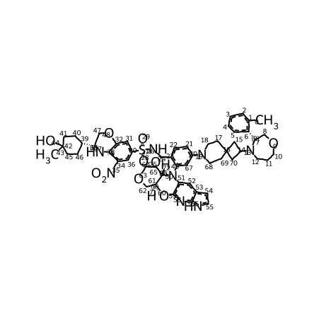 Cc1ccccc1[C@@H]1COCCCN1C1CC2(CCN(c3ccc(C(=O)NS(=O)(=O)c4cc5c(c([N+](=O)[O-])c4)N[C@H](C4CCC(C)(O)CC4)CO5)c(N4c5cc6cc[nH]c6nc5O[C@H]5COCC[C@@H]54)c3)CC2)C1